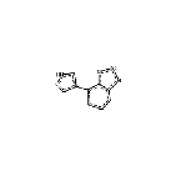 c1cc(-c2cn[nH]c2)c2n[se]nc2c1